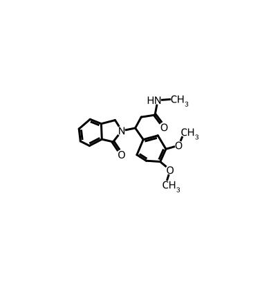 CNC(=O)CC(c1ccc(OC)c(OC)c1)N1Cc2ccccc2C1=O